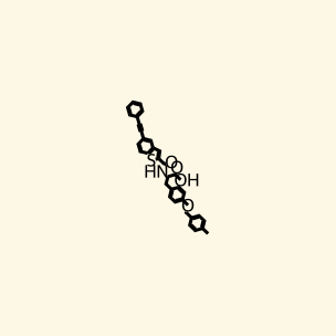 Cc1ccc(COc2ccc(CC(NC(=O)c3cc4cc(C#Cc5ccccc5)ccc4s3)C(=O)O)cc2)cc1